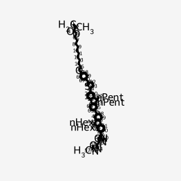 C=C(C)C(=O)OCCCCCCCCCCOc1ccc(-c2ccc(-c3ccc4c(c3)C(CCCCC)(CCCCC)c3cc(-c5ccc6c(c5)C(CCCCCC)(CCCCCC)c5cc(-c7nnc(-c8nnc(C)o8)o7)ccc5-6)ccc3-4)s2)cc1